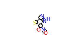 COc1ccc(-c2n[nH]c3nccc(-c4ccsc4)c23)cc1N1CCOCC1